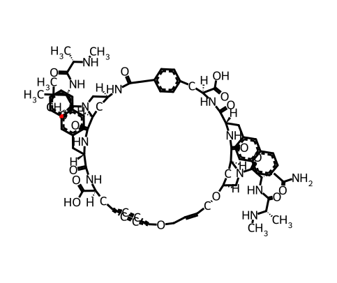 CN[C@@H](C)C(=O)N[C@@H](CC(N)=O)C(=O)N1C[C@@H]2C[C@H]1C(=O)N[C@@H](Cc1ccc3ccccc3c1)C(=O)N[C@H](C(=O)O)Cc1ccc(cc1)C(=O)N[C@H]1C[C@@H](C(=O)N[C@@H](Cc3ccc4ccccc4c3)C(=O)N[C@H](C(=O)O)Cc3ccc(cc3)OC/C=C/CO2)N(C(=O)[C@@H](NC(=O)[C@H](C)NC)C(C)(C)C)C1